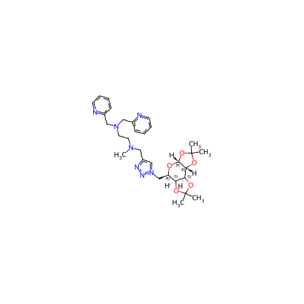 CN(CCN(Cc1ccccn1)Cc1ccccn1)Cc1cn(C[C@H]2O[C@@H]3OC(C)(C)O[C@@H]3[C@H]3OC(C)(C)O[C@H]32)nn1